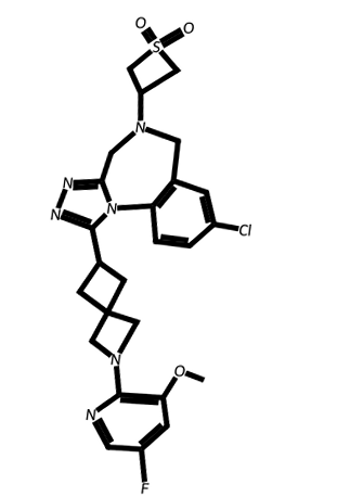 COc1cc(F)cnc1N1CC2(CC(c3nnc4n3-c3ccc(Cl)cc3CN(C3CS(=O)(=O)C3)C4)C2)C1